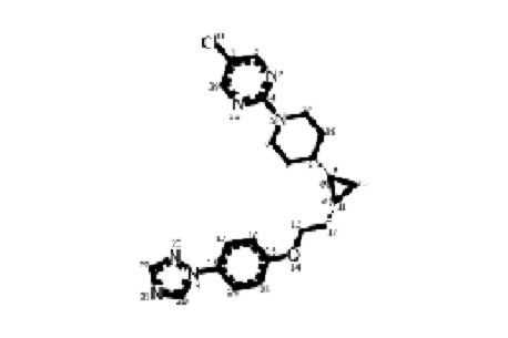 Clc1cnc(N2CCC([C@@H]3C[C@@H]3CCOc3ccc(-n4cncn4)cc3)CC2)nc1